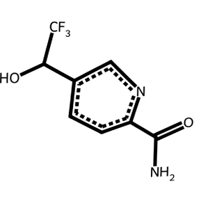 NC(=O)c1ccc(C(O)C(F)(F)F)cn1